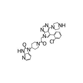 O=C(Cn1cc(-c2ccccc2Cl)c2c(N3CCNCC3)ncnc21)N1CCC(n2c(=O)[nH]c3ncccc32)CC1